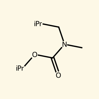 CC(C)CN(C)C(=O)OC(C)C